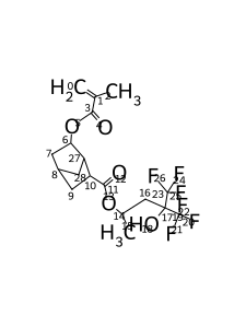 C=C(C)C(=O)OC1CC2CC(C(=O)OC(C)CC(O)(C(F)(F)F)C(F)(F)F)C1C2